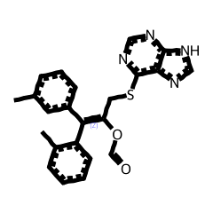 Cc1cccc(/C(=C(\CSc2ncnc3[nH]cnc23)OC=O)c2ccccc2C)c1